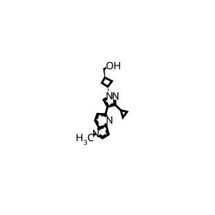 Cn1ccc2nc(-c3cn([C@H]4C[C@H](CO)C4)nc3C3CC3)ccc21